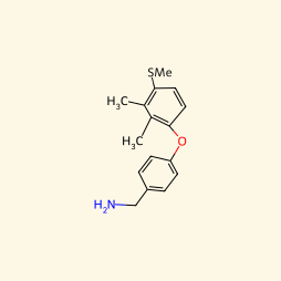 CSc1ccc(Oc2ccc(CN)cc2)c(C)c1C